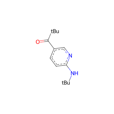 CC(C)(C)Nc1ccc(C(=O)C(C)(C)C)cn1